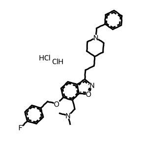 CN(C)Cc1c(OCc2ccc(F)cc2)ccc2c(CCC3CCN(Cc4ccccc4)CC3)noc12.Cl.Cl